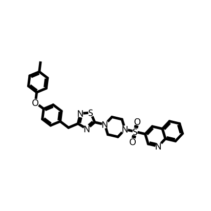 Cc1ccc(Oc2ccc(Cc3nsc(N4CCN(S(=O)(=O)c5cnc6ccccc6c5)CC4)n3)cc2)cc1